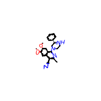 COc1cc2c(N3CCN[C@@H](c4ccccc4)C3)nc(C)c(C#N)c2cc1OC